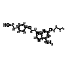 CCCCOc1nc(N)c2ncn(CCOc3ccc(CCO)cc3)c2n1